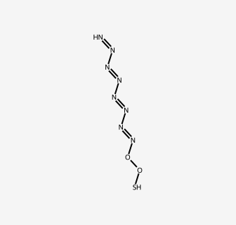 N=NN=NN=NN=NOOS